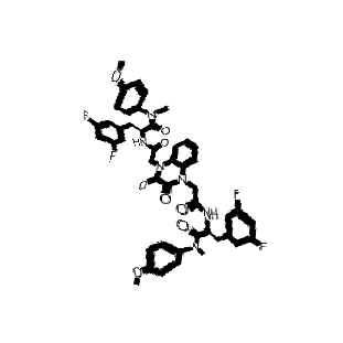 COc1ccc(N(C)C(=O)[C@H](Cc2cc(F)cc(F)c2)NC(=O)Cn2c(=O)c(=O)n(CC(=O)N[C@@H](Cc3cc(F)cc(F)c3)C(=O)N(C)c3ccc(OC)cc3)c3ccccc32)cc1